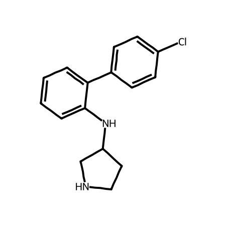 Clc1ccc(-c2ccccc2NC2CCNC2)cc1